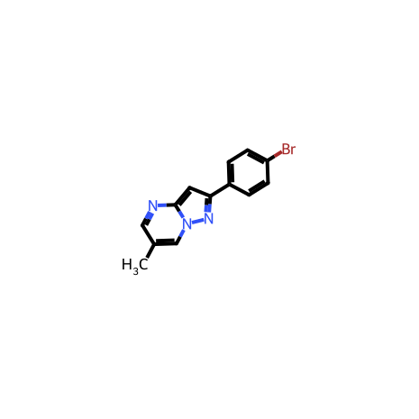 Cc1cnc2cc(-c3ccc(Br)cc3)nn2c1